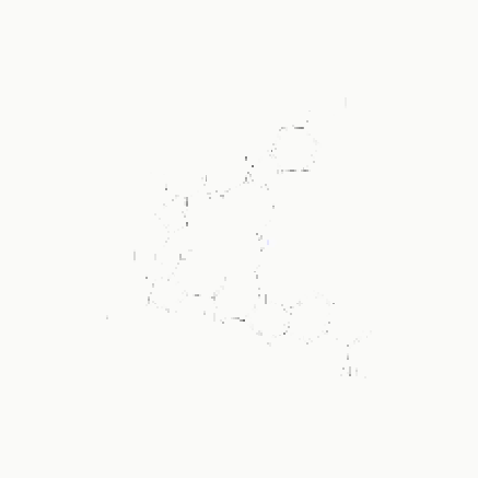 CCc1nc(C)oc1C(=O)Nc1nc2cc(C(N)=O)ccc2n1C/C=C/Cn1c(NC(=O)c2cc(C)nn2CC)nc2cc(C(=O)O)ccc21